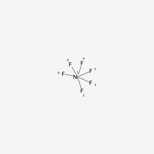 [F][Ni]([F])([F])([F])([F])[F]